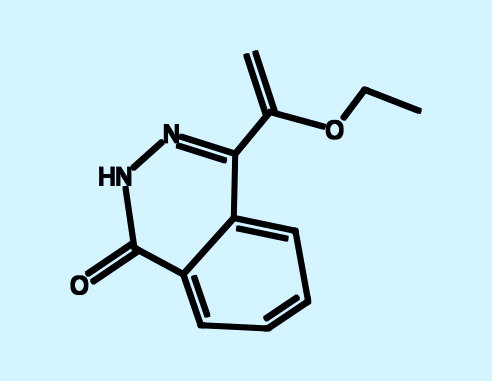 C=C(OCC)c1n[nH]c(=O)c2ccccc12